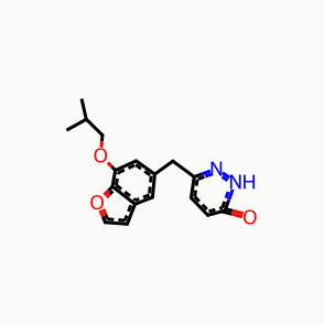 CC(C)COc1cc(Cc2ccc(=O)[nH]n2)cc2ccoc12